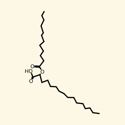 CCCCCCCCCCCCCCC(OC(=O)CCCCCCCCCCC)C(=O)O